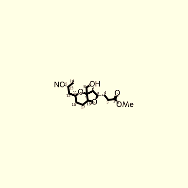 COC(=O)CC[C@H]1CC2(CO)OC(C[C@@H](C)C#N)CCC2O1